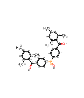 Cc1cc(C)c(C(=O)c2ccc([PH](=O)c3ccc(C(=O)c4c(C)cc(C)cc4C)cc3)cc2)c(C)c1